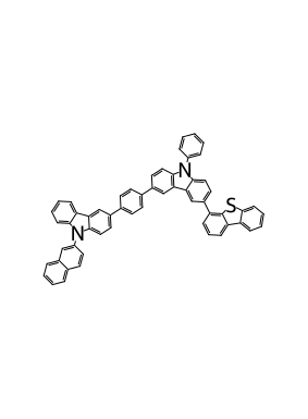 c1ccc(-n2c3ccc(-c4ccc(-c5ccc6c(c5)c5ccccc5n6-c5ccc6ccccc6c5)cc4)cc3c3cc(-c4cccc5c4sc4ccccc45)ccc32)cc1